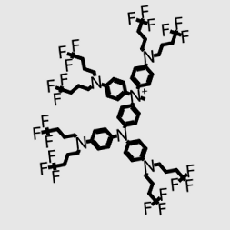 C[N+](c1ccc(N(CCCC(F)(F)F)CCCC(F)(F)F)cc1)(c1ccc(N(CCCC(F)(F)F)CCCC(F)(F)F)cc1)c1ccc(N(c2ccc(N(CCCC(F)(F)F)CCCC(F)(F)F)cc2)c2ccc(N(CCCC(F)(F)F)CCCC(F)(F)F)cc2)cc1